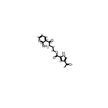 CC(=O)c1c[nH]c(C(=O)OCCCC(=O)c2cccnc2N)c1